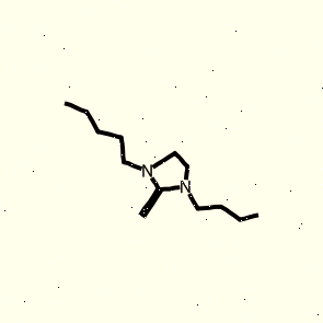 C=C1N(CCCC)CCN1CCCCC